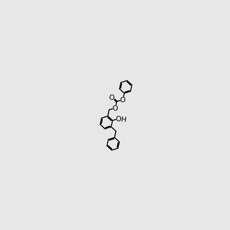 O=C(OCc1cccc(Cc2ccccc2)c1O)Oc1ccccc1